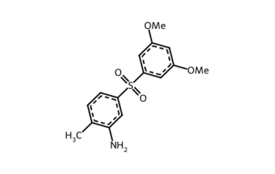 COc1cc(OC)cc(S(=O)(=O)c2ccc(C)c(N)c2)c1